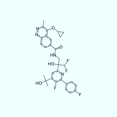 Cc1nnc2ccc(C(=O)NCC(O)(c3cc(C(C)(C)O)c(F)c(-c4ccc(F)cc4)n3)C(F)F)cc2c1OC1CC1